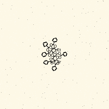 CCC1O[C@H](O[C@@H]2C(COC(=O)c3ccccc3)OC(Br)[C@@H](OC(=O)c3ccccc3)C2OC(=O)c2ccccc2)C(OC(=O)c2ccccc2)[C@@H](OC(=O)c2ccccc2)[C@@H]1OC(=O)c1ccccc1